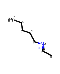 C/C=N/CCCCC(C)C